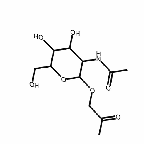 CC(=O)COC1OC(CO)C(O)C(O)C1NC(C)=O